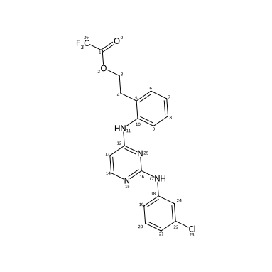 O=C(OCCc1ccccc1Nc1ccnc(Nc2cccc(Cl)c2)n1)C(F)(F)F